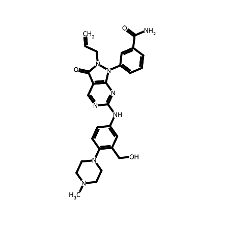 C=CCn1c(=O)c2cnc(Nc3ccc(N4CCN(C)CC4)c(CO)c3)nc2n1-c1cccc(C(N)=O)c1